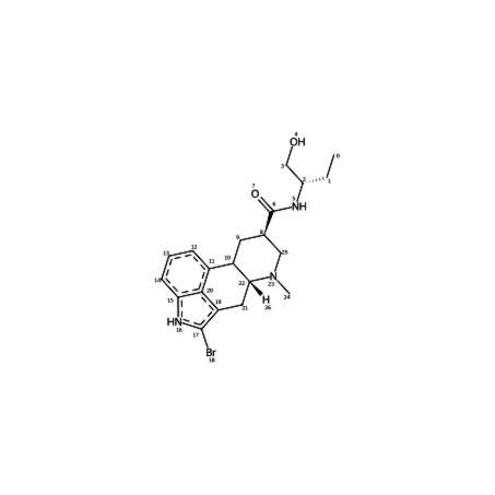 CC[C@@H](CO)NC(=O)[C@@H]1CC2c3cccc4[nH]c(Br)c(c34)C[C@H]2N(C)C1